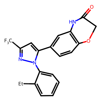 CCc1ccccc1-n1nc(C(F)(F)F)cc1-c1ccc2c(c1)NC(=O)CO2